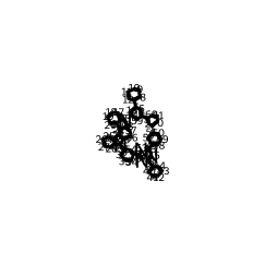 c1ccc(-c2cc(-c3ccccc3)cc(-n3c4ccccc4c4c5c6ccccc6n(-c6cccc(-c7nc(-c8ccccc8)nc(-c8ccccc8)n7)c6)c5ccc43)c2)cc1